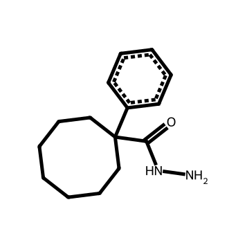 NNC(=O)C1(c2ccccc2)CCCCCCC1